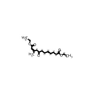 CCOC(=O)C=C(C)CC(=O)CCCCCCC(=O)OCC